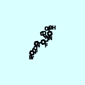 O=C(O)c1ccc2nc(Cc3ccc(-c4cccc(OCc5ccc(Br)cc5F)n4)cc3F)n(CC3CCCO3)c2c1